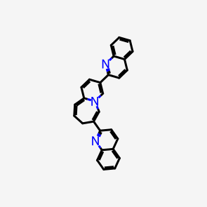 C1=CCC(c2ccc3ccccc3n2)=CN2C=C(c3ccc4ccccc4n3)C=CC=12